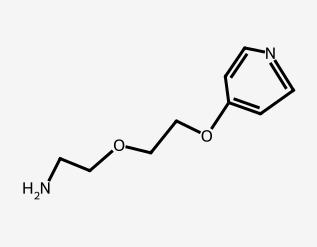 NCCOCCOc1ccncc1